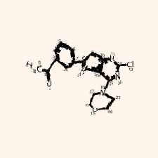 CC(=O)c1cccc(-c2cc3nc(Cl)nc(N4CCOCC4)c3s2)c1